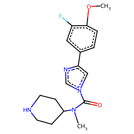 COc1ccc(-c2cn(C(=O)N(C)C3CCNCC3)cn2)cc1F